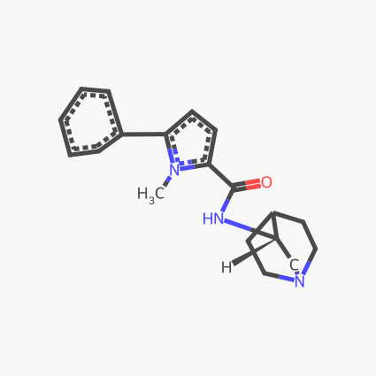 Cn1c(C(=O)N[C@H]2CN3CCC2CC3)ccc1-c1ccccc1